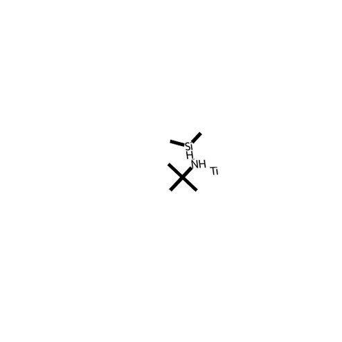 C[SiH](C)NC(C)(C)C.[Ti]